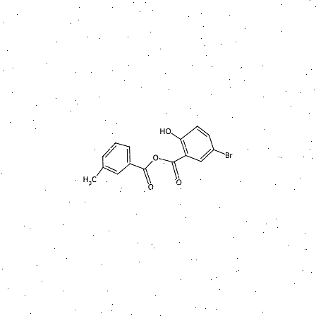 Cc1cccc(C(=O)OC(=O)c2cc(Br)ccc2O)c1